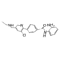 CCNCc1cnc(-c2ccc(C(=O)Nc3ccccc3N)cc2)c(Cl)c1